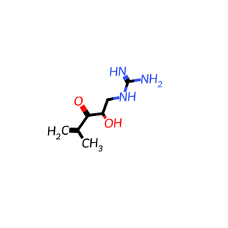 C=C(C)C(=O)C(O)CNC(=N)N